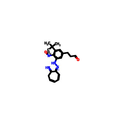 CC(C)(C)c1cc(CCC=O)cc(N/N=C2/C=CC=CCC2=N)c1N=O